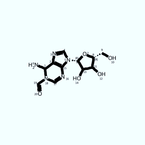 NC1c2ncn([C@@H]3O[C@H](CO)C(O)C3O)c2N=CN1C=O